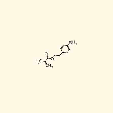 C=C(C)C(=O)OCCc1ccc(N)cc1